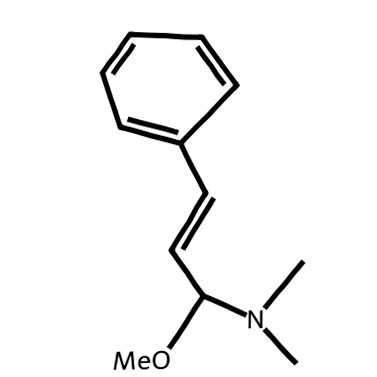 COC(C=Cc1ccccc1)N(C)C